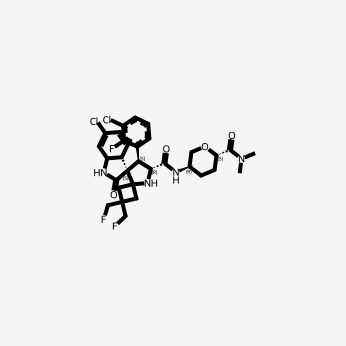 CN(C)C(=O)[C@@H]1CC[C@@H](NC(=O)[C@@H]2NC3(CC(CF)(CF)C3)[C@@]3(C(=O)NC4C=C(Cl)C=CC43)[C@H]2c2cccc(Cl)c2F)CO1